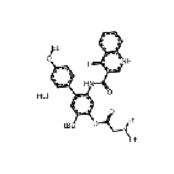 CCOc1ccc(-c2cc(C(C)(C)C)c(OC(=O)CN(CC)CC)cc2NC(=O)c2c[nH]c3ccccc3c2=O)cc1.Cl